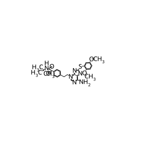 COc1ccc(OC)c(Sc2nc3c(N)ncn(CCc4ccc(S(=O)(=O)NC(C)(C)C)cc4)c-3n2)c1